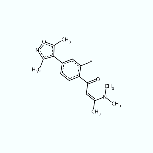 CC(=CC(=O)c1ccc(-c2c(C)noc2C)cc1F)N(C)C